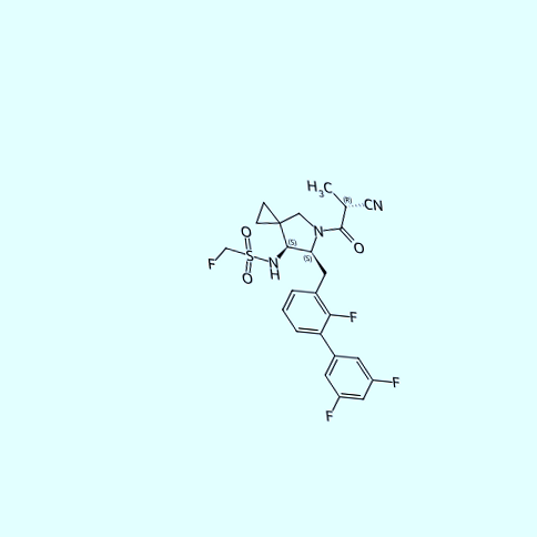 C[C@H](C#N)C(=O)N1CC2(CC2)[C@H](NS(=O)(=O)CF)[C@@H]1Cc1cccc(-c2cc(F)cc(F)c2)c1F